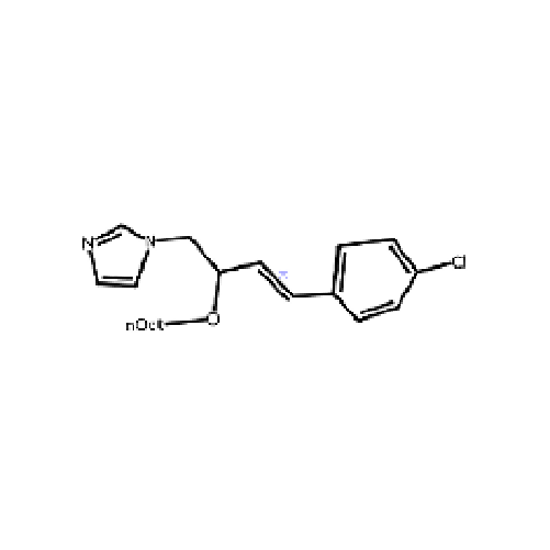 CCCCCCCCOC(/C=C/c1ccc(Cl)cc1)Cn1ccnc1